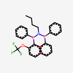 CCCCN(P(c1ccccc1)c1ccccc1)P(c1ccccc1)c1ccccc1OC(F)(F)F